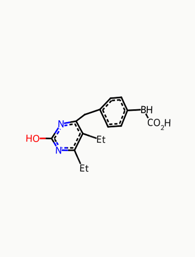 CCc1nc(O)nc(Cc2ccc(BC(=O)O)cc2)c1CC